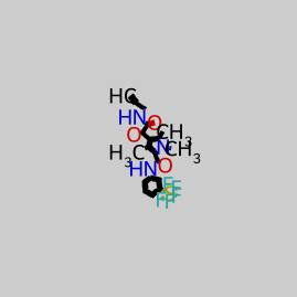 C#CCNC(=O)C(=O)c1c(C)c(C(=O)Nc2cccc(S(F)(F)(F)(F)F)c2)n(C)c1C